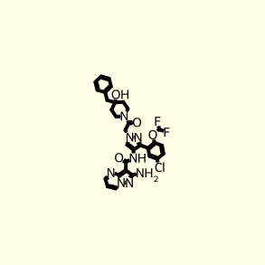 Nc1nn2cccnc2c1C(=O)Nc1cn(CC(=O)N2CCC(O)(Cc3ccccc3)CC2)nc1-c1cc(Cl)ccc1OC(F)F